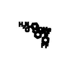 COC1(c2cccc(C(N)=O)c2)C(C)CCCC1CN(C)C1CCC(F)(F)CC1